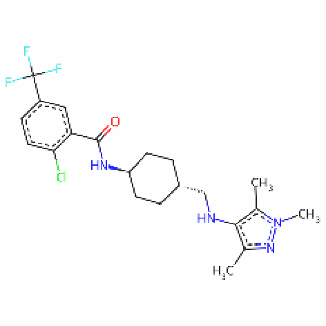 Cc1nn(C)c(C)c1NC[C@H]1CC[C@H](NC(=O)c2cc(C(F)(F)F)ccc2Cl)CC1